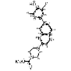 COC(=O)N1CCN(c2cnc3ccc(-c4cc(C)c(O)c(C)c4)cc3n2)CC1